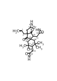 C=CCC1(CC2NO2)C(=O)C(CC2NO2)C2(CC(C)(C)C(CC3NO3)C(C)(C)C2)C1=O